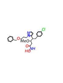 COC(CC(=O)NO)C(Cc1ccc(Cl)cc1)c1ccnn1CCCOCc1ccccc1